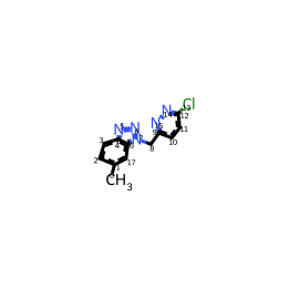 Cc1ccc2nnn(Cc3ccc(Cl)nn3)c2c1